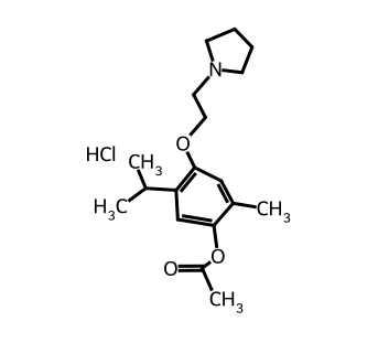 CC(=O)Oc1cc(C(C)C)c(OCCN2CCCC2)cc1C.Cl